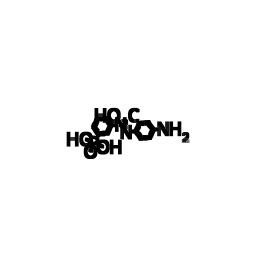 Nc1ccc(N=Nc2cccc(P(=O)(O)O)c2)c(C(=O)O)c1